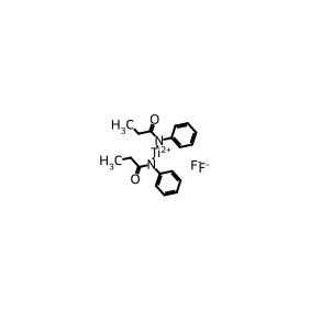 CCC(=O)[N]([Ti+2][N](C(=O)CC)c1ccccc1)c1ccccc1.[F-].[F-]